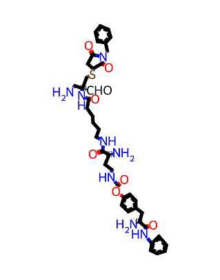 NC[C@@](C=O)(CSC1CC(=O)N(Cc2ccccc2)C1=O)NC(=O)CCCCCNC(=O)[C@@H](N)CCNC(=O)Oc1ccc(C[C@H](N)C(=O)Nc2ccccc2)cc1